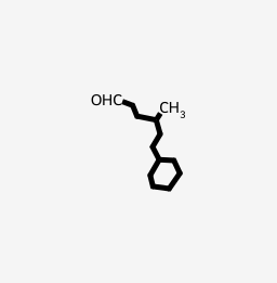 CC(CCC=O)CCC1CCCCC1